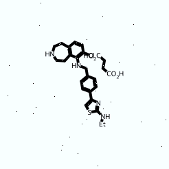 CCNc1nc(-c2ccc(CNc3c(Cl)ccc4c3CCNCC4)cc2)cs1.O=C(O)CCC(=O)O